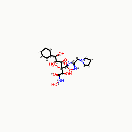 O=C(NO)C(O)[C@@](O)(c1nc(CN2CCCC2)no1)C(O)C(O)C(O)C1CCCCC1